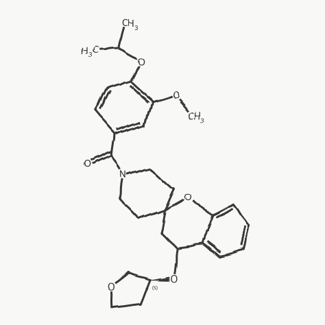 COc1cc(C(=O)N2CCC3(CC2)CC(O[C@H]2CCOC2)c2ccccc2O3)ccc1OC(C)C